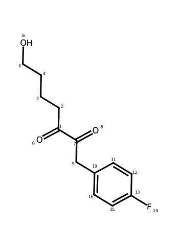 O=C(CCCCO)C(=O)Cc1ccc(F)cc1